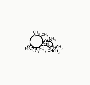 COC1(C)CC(C)CN(C)CCOC(=O)C(C)(C)C(=O)C(C)C1O[C@@H]1O[C@H](C)C[C@H](N(C)C)[C@H]1O